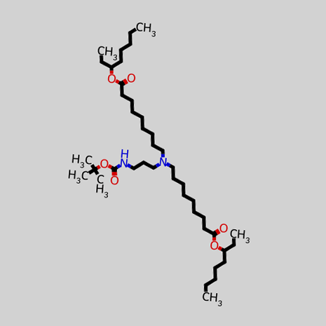 CCCCCC(CC)OC(=O)CCCCCCCCN(CCCCCCCCC(=O)OC(CC)CCCCC)CCCNC(=O)OC(C)(C)C